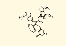 CC1=CCCc2c1c(C(F)(F)F)nn2CC(=O)NC(Cc1cc(F)cc(F)c1)c1ncccc1-c1ccc(F)c(C(N)=O)c1